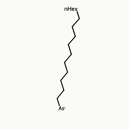 CCCCCCCCCCCCCCCC[As]